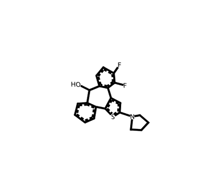 OC1c2ccccc2-c2sc(N3CCCC3)cc2-c2c1ccc(F)c2F